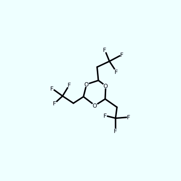 FC(F)(F)CC1OC(CC(F)(F)F)OC(CC(F)(F)F)O1